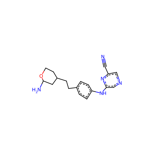 N#Cc1cncc(Nc2ccc(CCC3CCOC(N)C3)cc2)n1